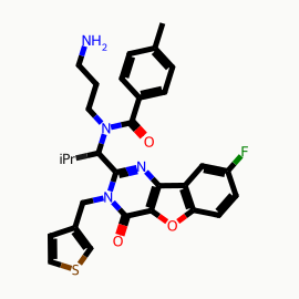 Cc1ccc(C(=O)N(CCCN)C(c2nc3c(oc4ccc(F)cc43)c(=O)n2Cc2ccsc2)C(C)C)cc1